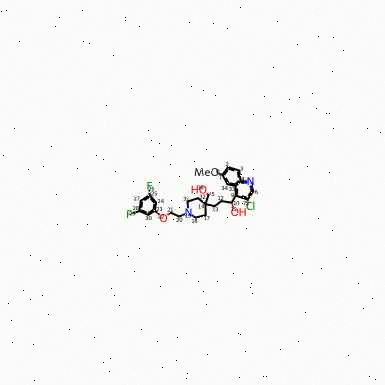 COc1ccc2ncc(Cl)c([C@@H](O)CCC3(CO)CCN(CCOc4cc(F)cc(F)c4)CC3)c2c1